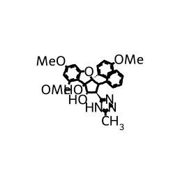 COc1ccc([C@@]23Oc4cc(OC)cc(OC)c4C2(O)[C@H](O)[C@H](c2nnc(C)[nH]2)C3c2ccccc2)cc1